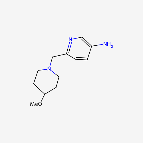 COC1CCN(Cc2ccc(N)cn2)CC1